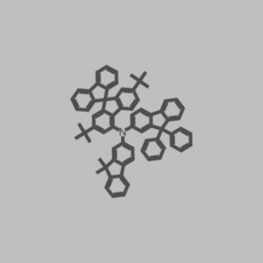 CC(C)(C)c1ccc2c(c1)C1(c3ccccc3-c3ccccc31)c1cc(C(C)(C)C)cc(N(c3ccc4c(c3)C(C)(C)c3ccccc3-4)c3ccc4c(c3)C(c3ccccc3)(c3ccccc3)c3ccccc3-4)c1-2